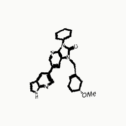 CO[C@@H]1CCC[C@@H](Cn2c(=O)n(C3=CCCCC3)c3ncc(-c4cnc5[nH]ccc5c4)cc32)C1